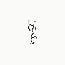 CC(=O)CC(=O)C=Cc1ccc(F)c(F)c1F